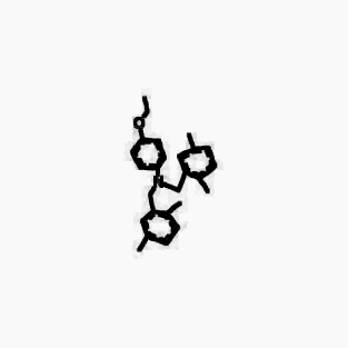 CCOc1ccc(N(Cc2cc(C)ccc2C)Cc2cc(C)ccc2C)cc1